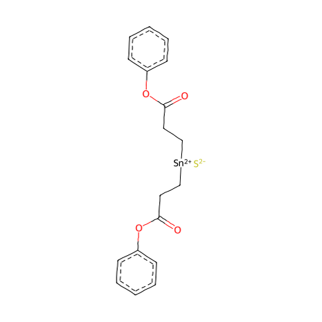 O=C(C[CH2][Sn+2][CH2]CC(=O)Oc1ccccc1)Oc1ccccc1.[S-2]